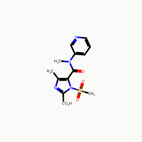 Cc1nc(C(=O)O)n(S(C)(=O)=O)c1C(=O)N(C)c1cccnc1